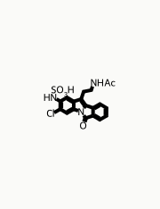 CC(=O)NCCc1c2n(c3cc(Cl)c(NS(=O)(=O)O)cc13)C(=O)c1ccccc1-2